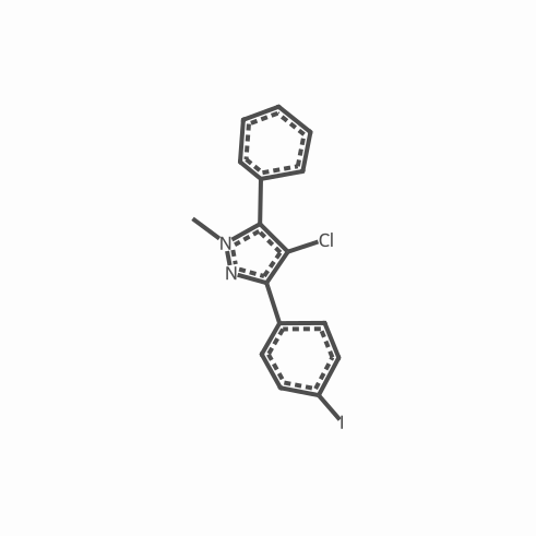 Cn1nc(-c2ccc(I)cc2)c(Cl)c1-c1ccccc1